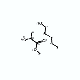 CCCCCO.COC(=O)C(C)O